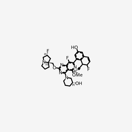 C#CC1c2c(cc(O)cc2-c2nc(OC)c3c(N4CCC[C@@H](O)C4)nc(OC[C@@]45CCCN4C[C@H](F)C5)nc3c2F)C=CC1F